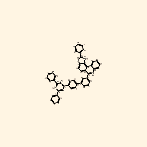 c1ccc(-c2cc(-c3ccc(-c4cccc(-c5nc6ccccc6c6c7c(ccc56)OC(c5ccccc5)N7)c4)cc3)nc(-c3ccccc3)n2)cc1